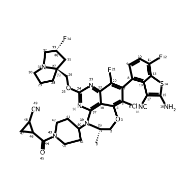 C[C@H]1COc2c(Cl)c(-c3ccc(F)c4sc(N)c(C#N)c34)c(F)c3nc(OC[C@@]45CCCN4C[C@H](F)C5)nc(c23)N1C1CCN(C(=O)C2CC2C#N)CC1